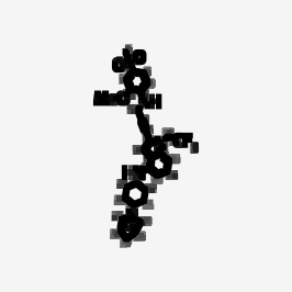 COc1cc(S(C)(=O)=O)ccc1NCC#Cc1cc2c(N[C@H]3CC[C@@H](N4CC5CC(C4)O5)CC3)cccc2n1CC(F)(F)F